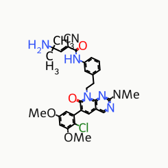 CNc1ncc2cc(-c3cc(OC)cc(OC)c3Cl)c(=O)n(CCc3cccc(NC(=O)C(C#N)=CC(C)(C)N)c3)c2n1